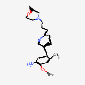 Cc1cc(OC(C)C)c(N)cc1C1=CC/C(=C/CCN2CCOCC2)N=C1